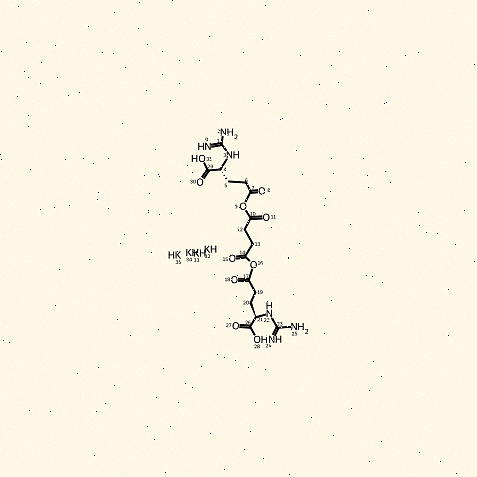 N=C(N)N[C@H](CCC(=O)OC(=O)CCC(=O)OC(=O)CC[C@@H](NC(=N)N)C(=O)O)C(=O)O.[KH].[KH].[KH].[KH]